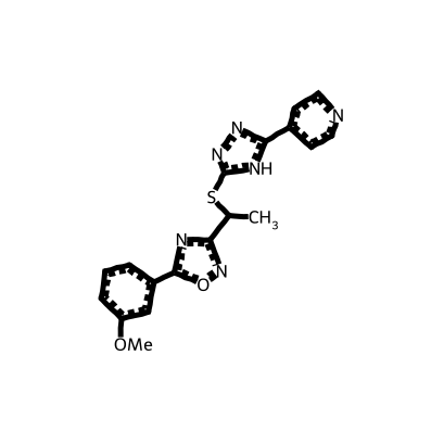 COc1cccc(-c2nc(C(C)Sc3nnc(-c4ccncc4)[nH]3)no2)c1